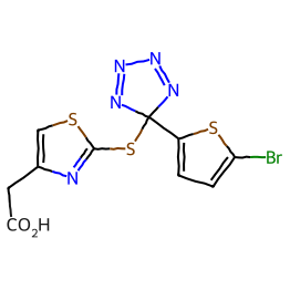 O=C(O)Cc1csc(SC2(c3ccc(Br)s3)N=NN=N2)n1